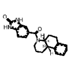 O=C(c1ccc2[nH]c(=O)[nH]c2c1)N1CCC[C@H]2c3ccccc3CC[C@H]21